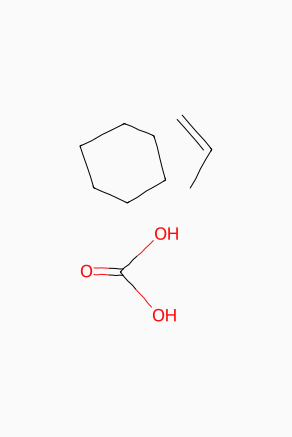 C1CCCCC1.C=CC.O=C(O)O